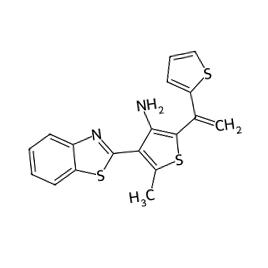 C=C(c1cccs1)c1sc(C)c(-c2nc3ccccc3s2)c1N